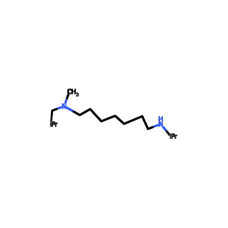 CC(C)CN(C)CCCCCCCNC(C)C